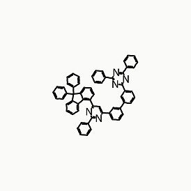 c1ccc(-c2nc(-c3cccc(-c4cccc(-c5nc(-c6ccccc6)nc(-c6ccccc6)n5)c4)c3)cc(-c3cccc4c3-c3ccccc3C4(c3ccccc3)c3ccccc3)n2)cc1